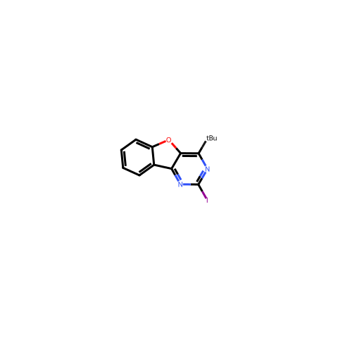 CC(C)(C)c1nc(I)nc2c1oc1ccccc12